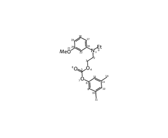 CCN(CCOC(=O)Oc1cc(C)cc(C)c1)c1cccc(OC)c1